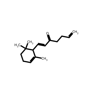 C=CCCC(=O)C=CC1C(C)=CCCC1(C)C